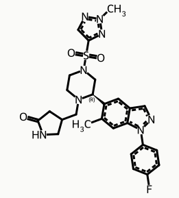 Cc1cc2c(cnn2-c2ccc(F)cc2)cc1[C@@H]1CN(S(=O)(=O)c2cnn(C)n2)CCN1CC1CNC(=O)C1